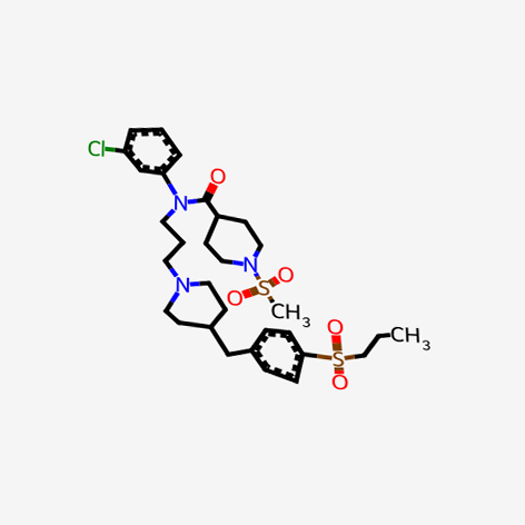 CCCS(=O)(=O)c1ccc(CC2CCN(CCCN(C(=O)C3CCN(S(C)(=O)=O)CC3)c3cccc(Cl)c3)CC2)cc1